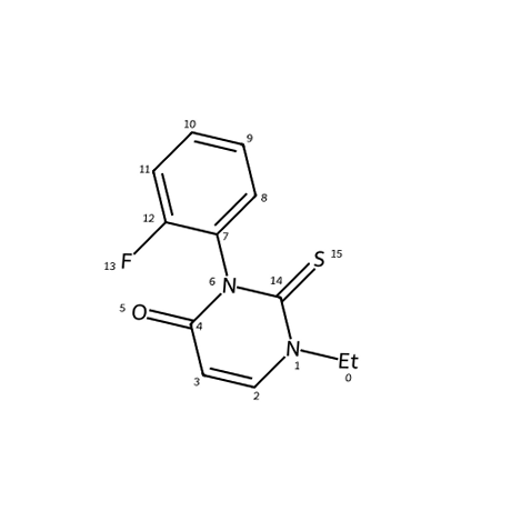 CCn1ccc(=O)n(-c2ccccc2F)c1=S